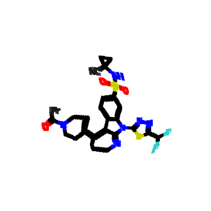 CC(C)C(=O)N1CC=C(c2ccnc3c2c2ccc(S(=O)(=O)NC4(C#N)CC4)cc2n3-c2nnc(C(F)F)s2)CC1